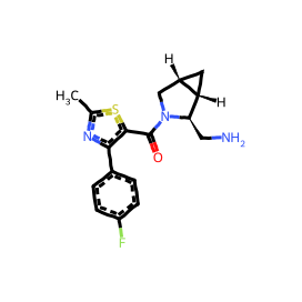 Cc1nc(-c2ccc(F)cc2)c(C(=O)N2C[C@@H]3C[C@@H]3[C@H]2CN)s1